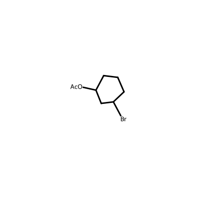 [CH2]C(=O)OC1CCCC(Br)C1